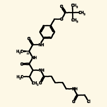 CC(C)C(NC(=O)CCCCNC(=O)CCl)C(=O)N[C@@H](C)C(=O)Nc1ccc(COC(=O)C(C)(C)C)cc1